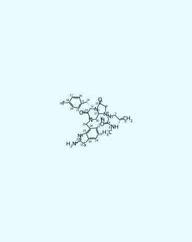 C=CCN(C(=O)NC)N1CC(=O)N2[C@@H](Cc3ccc(F)cc3)C(=O)N(Cc3cccc4sc(N)nc34)C[C@@H]21